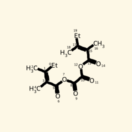 CCC(C)=C(C)C(=O)OC(=O)C(=O)OC(=O)C(C)=C(C)CC